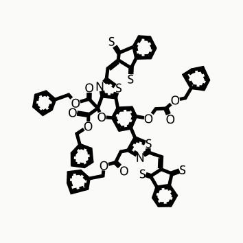 O=C(COc1cc2c(cc1-c1sc(C=C3C(=S)c4ccccc4C3=S)nc1CC(=O)OCc1ccccc1)OC(C(=O)OCc1ccccc1)(C(=O)OCc1ccccc1)c1nc(C=C3C(=S)c4ccccc4C3=S)sc1-2)OCc1ccccc1